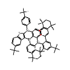 Cc1cc2c3c(c1)N(c1c(C)cc(C(C)(C)C)cc1-c1ccc4c(c1)C(C)(C)CCC4(C)C)c1c(ccc4c1C(C)(C)CCC4(C)C)B3c1c(sc3ccc(C(C)(C)C)cc13)N2c1ccc(C(C)(C)C)cc1